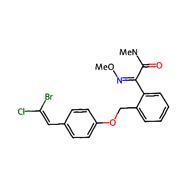 CNC(=O)C(=NOC)c1ccccc1COc1ccc(C=C(Cl)Br)cc1